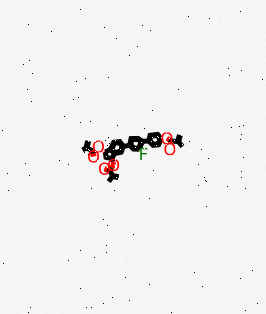 C=C(C)C(=O)Oc1ccc(-c2ccc(-c3ccc4c(c3)C(OC(=O)C(=C)C)CC4OC(=O)C(=C)C)cc2F)cc1